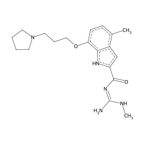 CNC(N)=NC(=O)c1cc2c(C)ccc(OCCCN3CCCC3)c2[nH]1